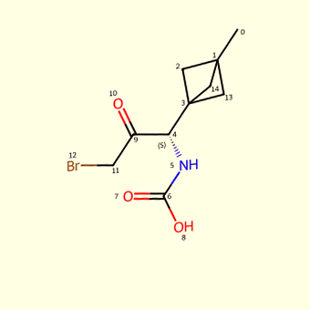 CC12CC([C@H](NC(=O)O)C(=O)CBr)(C1)C2